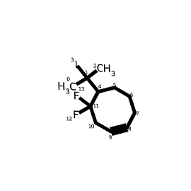 CC(C)(I)C1CCCC#CCC1(F)F